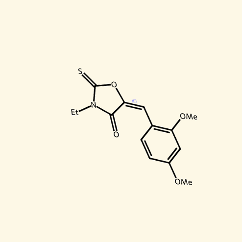 CCN1C(=O)/C(=C\c2ccc(OC)cc2OC)OC1=S